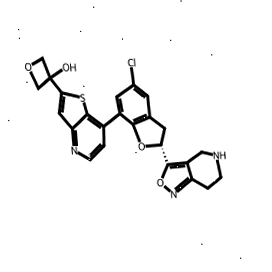 OC1(c2cc3nccc(-c4cc(Cl)cc5c4O[C@@H](c4onc6c4CNCC6)C5)c3s2)COC1